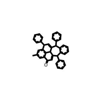 Cc1cc2c3c(c1)C(c1ccccc1)C=C1C3C(=CC2=O)C(c2ccccc2)c2ccccc2C1c1ccccc1